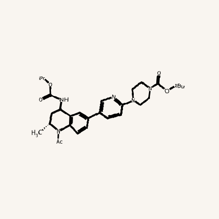 CC(=O)N1c2ccc(-c3ccc(N4CCN(C(=O)OC(C)(C)C)CC4)nc3)cc2C(NC(=O)OC(C)C)C[C@H]1C